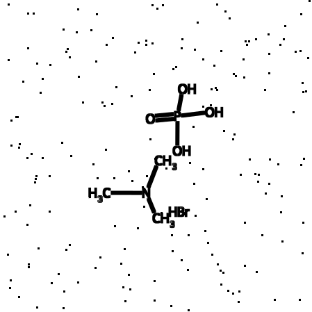 Br.CN(C)C.O=P(O)(O)O